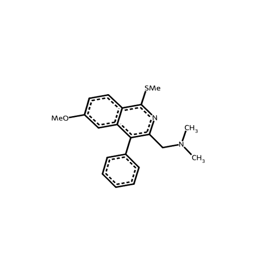 COc1ccc2c(SC)nc(CN(C)C)c(-c3ccccc3)c2c1